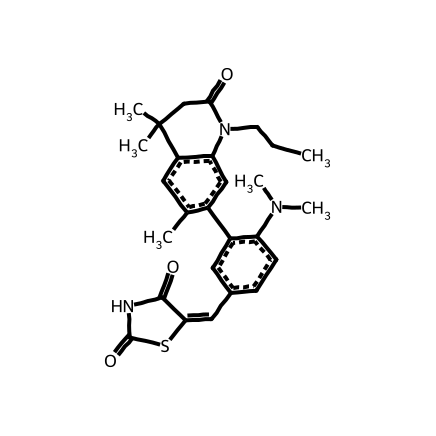 CCCN1C(=O)CC(C)(C)c2cc(C)c(-c3cc(C=C4SC(=O)NC4=O)ccc3N(C)C)cc21